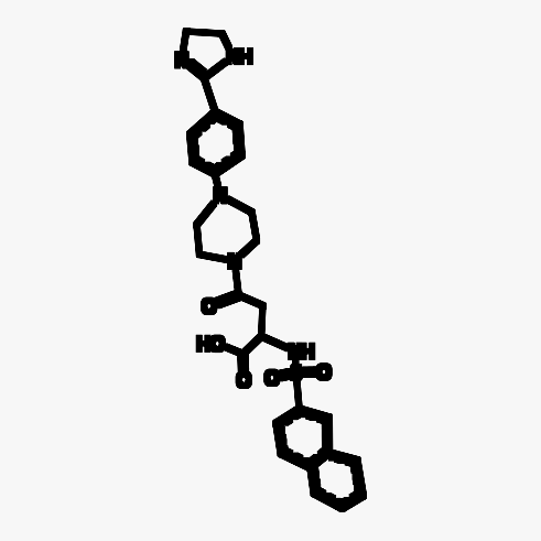 O=C(O)C(CC(=O)N1CCN(c2ccc(C3=NCCN3)cc2)CC1)NS(=O)(=O)c1ccc2ccccc2c1